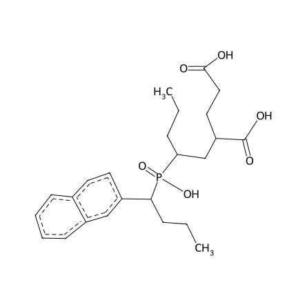 CCCC(CC(CCC(=O)O)C(=O)O)P(=O)(O)C(CCC)c1ccc2ccccc2c1